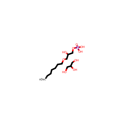 CCCCCCCCCCCCCCCCOCC(O)COP(=O)(O)O.OCC(O)CO